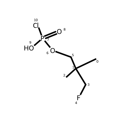 CC(C)(CF)COP(=O)(O)Cl